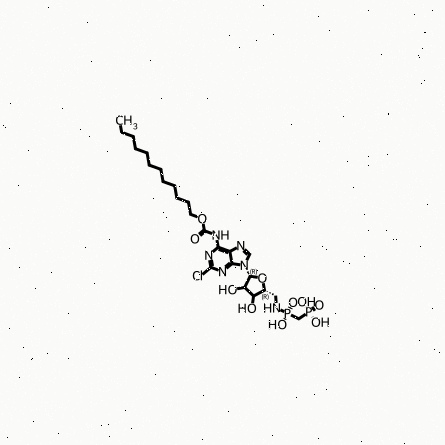 CCCCCCCCCCCCOC(=O)Nc1nc(Cl)nc2c1ncn2[C@@H]1O[C@H](CNP(=O)(O)CP(=O)(O)O)C(O)C1O